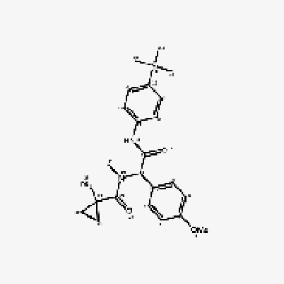 COc1ccc(C(C(=O)Nc2ccc(S(C)(C)C)cc2)N(C)C(=O)C2(C#N)CC2)cc1